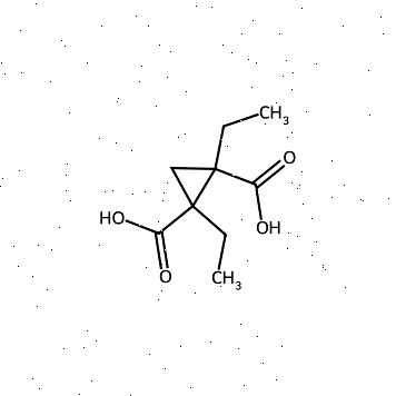 CCC1(C(=O)O)CC1(CC)C(=O)O